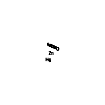 O=S.[Hg].[Zn]